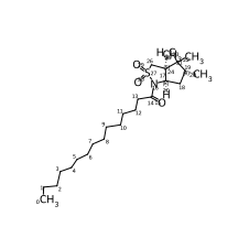 CCCCCCCCCCCCCCC(=O)N1[C@@H]2C[C@@H](C)C(C)(C)[C@]2(C)CS1(=O)=O